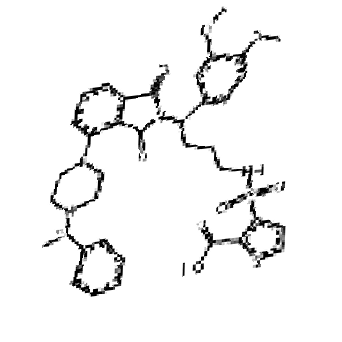 COc1ccc(C(CCCNS(=O)(=O)c2ccsc2C(=O)O)N2C(=O)c3cccc(N4CCN([C@H](C)c5ccccc5)CC4)c3C2=O)cc1OC